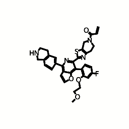 C=CC(=O)N1CCc2nc(-c3nc(-c4ccc5c(c4)CCNC5)c4ccoc4c3-c3ccc(F)cc3OCCOC)sc2C1